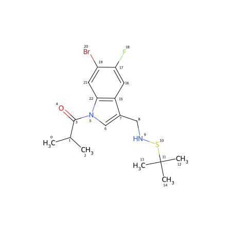 CC(C)C(=O)n1cc(CNSC(C)(C)C)c2cc(F)c(Br)cc21